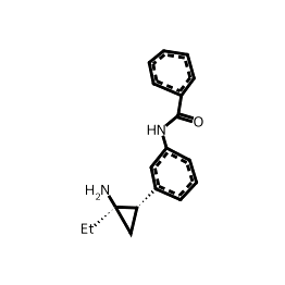 CC[C@@]1(N)C[C@H]1c1cccc(NC(=O)c2ccccc2)c1